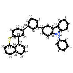 c1ccc(-n2c3ccccc3c3cc(-c4cccc(-c5ccc6c(c5)-c5cccc7cccc(c57)S6)c4)ccc32)cc1